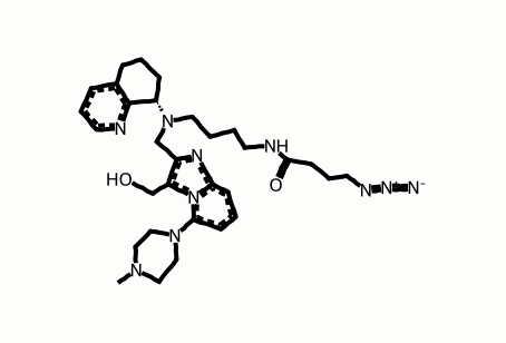 CN1CCN(c2cccc3nc(CN(CCCCNC(=O)CCCN=[N+]=[N-])[C@H]4CCCc5cccnc54)c(CO)n23)CC1